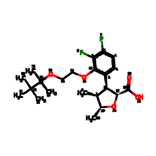 C[C@H]1[C@@H](c2ccc(F)c(F)c2OCCO[Si](C)(C)C(C)(C)C)[C@H](C(=O)O)O[C@@H]1C